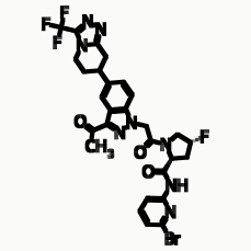 CC(=O)c1nn(CC(=O)N2C[C@H](F)C[C@H]2C(=O)Nc2cccc(Br)n2)c2ccc(C3CCn4c(nnc4C(F)(F)F)C3)cc12